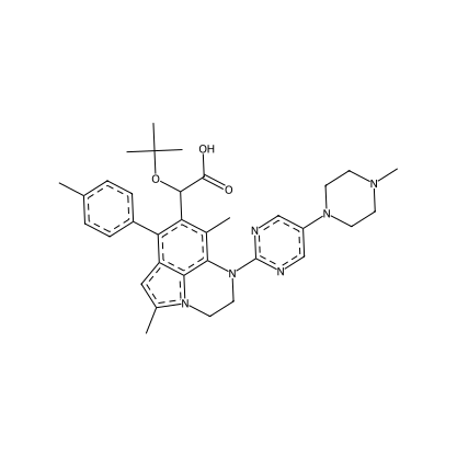 Cc1ccc(-c2c(C(OC(C)(C)C)C(=O)O)c(C)c3c4c2cc(C)n4CCN3c2ncc(N3CCN(C)CC3)cn2)cc1